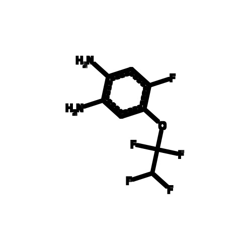 Nc1cc(F)c(OC(F)(F)C(F)F)cc1N